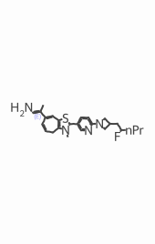 CCCC(F)CC1CN(c2ccc(C3SC4=C(CC=CC(/C(C)=C/N)=C4)N3C)cn2)C1